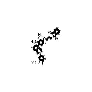 COc1cc(N2CCN3C(CCCC3c3ccc(OCCCN4C(=O)c5ccccc5C4=O)c(C)c3C)C2)ccc1F